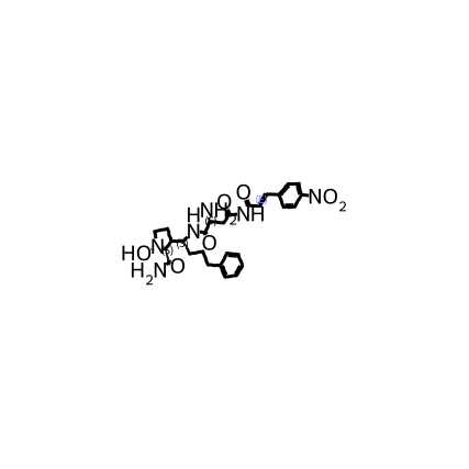 NC(=O)[C@@H]1C([C@H](CCCc2ccccc2)NC(=O)[C@@H](N)CC(=O)NC(=O)/C=C/c2ccc([N+](=O)[O-])cc2)CCN1O